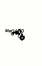 COC(=O)c1cc2c(=O)n(Cc3ccccc3)c(=O)n(C)c2s1